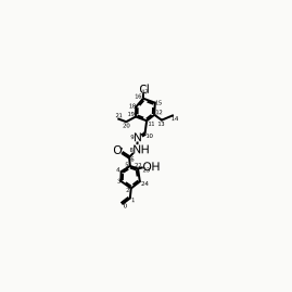 C=Cc1ccc(C(=O)N/N=C/c2c(CC)cc(Cl)cc2CC)c(O)c1